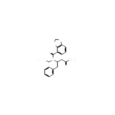 CCN(C(=O)c1cccc2c1OCO2)C(CC(N)=O)Cc1ccccc1